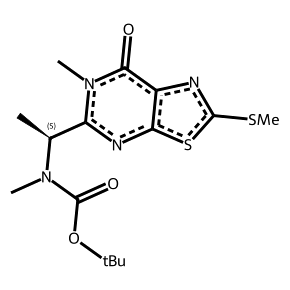 CSc1nc2c(=O)n(C)c([C@H](C)N(C)C(=O)OC(C)(C)C)nc2s1